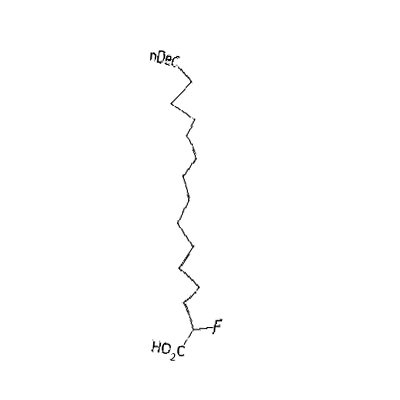 CCCCCCCCCCCCCCCCCCCCCCC(F)C(=O)O